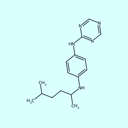 CC(C)CCC(C)Nc1ccc(Nc2ncncn2)cc1